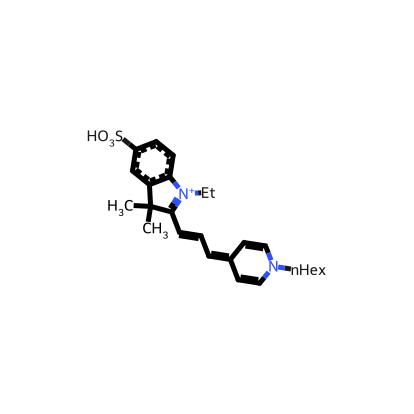 CCCCCCN1C=CC(=C/C=C/C2=[N+](CC)c3ccc(S(=O)(=O)O)cc3C2(C)C)C=C1